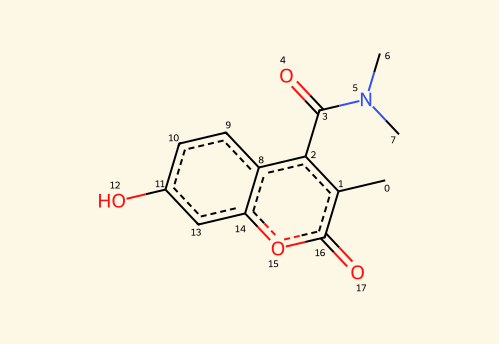 Cc1c(C(=O)N(C)C)c2ccc(O)cc2oc1=O